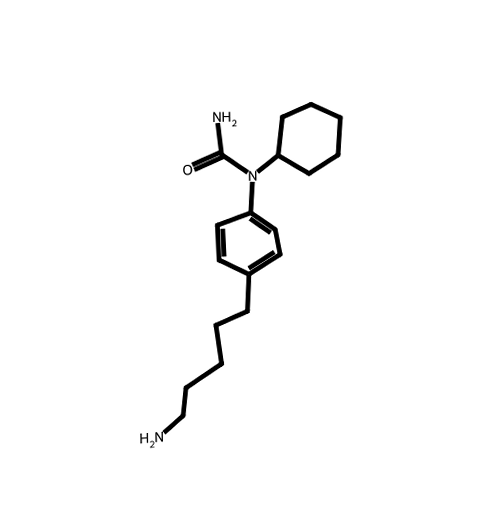 NCCCCCc1ccc(N(C(N)=O)C2CCCCC2)cc1